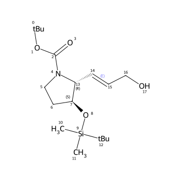 CC(C)(C)OC(=O)N1CC[C@H](O[Si](C)(C)C(C)(C)C)[C@H]1/C=C/CO